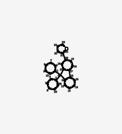 c1ccc(C2(c3ccccc3)c3ccccc3-c3ccc(-c4ccco4)cc32)cc1